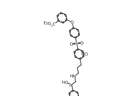 CCOC(=O)c1cccc(Oc2ccc(S(=O)(=O)c3ccc(CCCNC[C@H](O)c4cccc(Cl)c4)cc3)cc2)c1.Cl